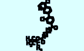 CC(C)(C)OC(=O)N1CC2(C1)CN(C(=O)c1ccc(-c3ccc4c(Cl)ccnc4c3)c(Cl)c1)C2